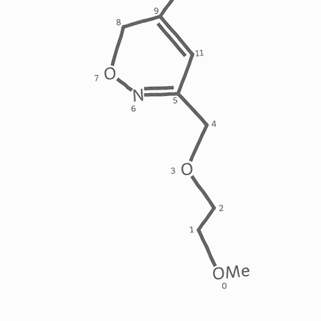 COCCOCC1=NOCC(C)=C1